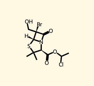 CC(Cl)OC(=O)[C@@H]1N2C(=O)[C@@](Br)(CO)[C@H]2SC1(C)C